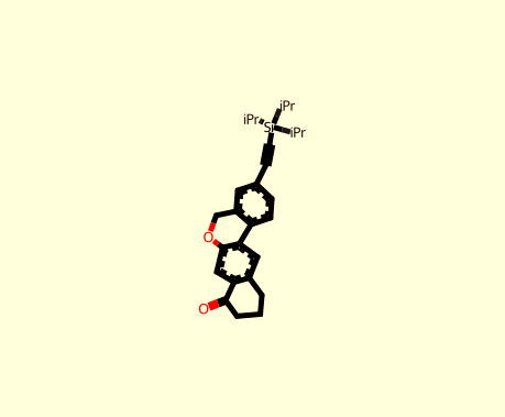 CC(C)[Si](C#Cc1ccc2c(c1)COc1cc3c(cc1-2)CCCC3=O)(C(C)C)C(C)C